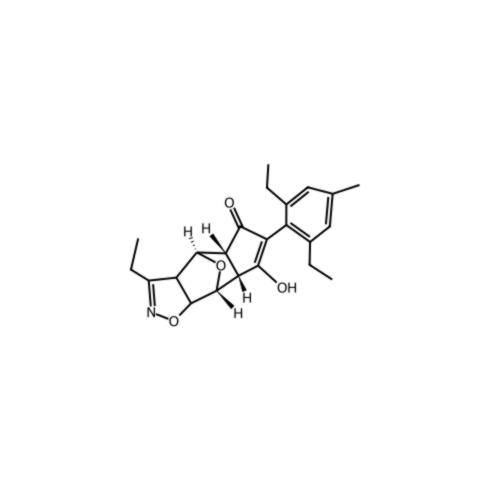 CCC1=NOC2C1[C@@H]1O[C@@H]2[C@H]2C(O)=C(c3c(CC)cc(C)cc3CC)C(=O)[C@H]21